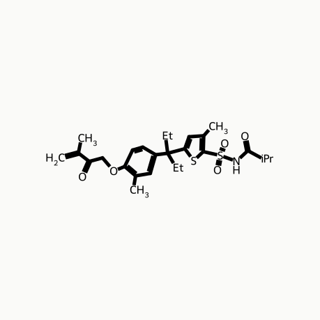 C=C(C)C(=O)COc1ccc(C(CC)(CC)c2cc(C)c(S(=O)(=O)NC(=O)C(C)C)s2)cc1C